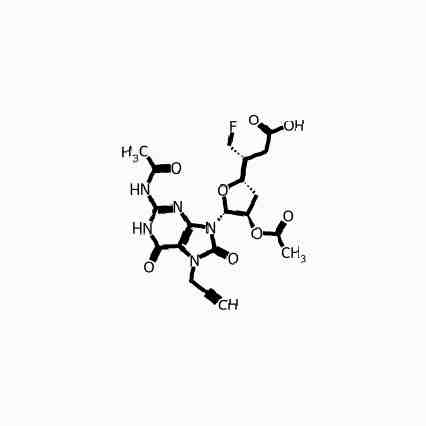 C#CCn1c(=O)n([C@@H]2O[C@H]([C@H](CF)CC(=O)O)C[C@H]2OC(C)=O)c2nc(NC(C)=O)[nH]c(=O)c21